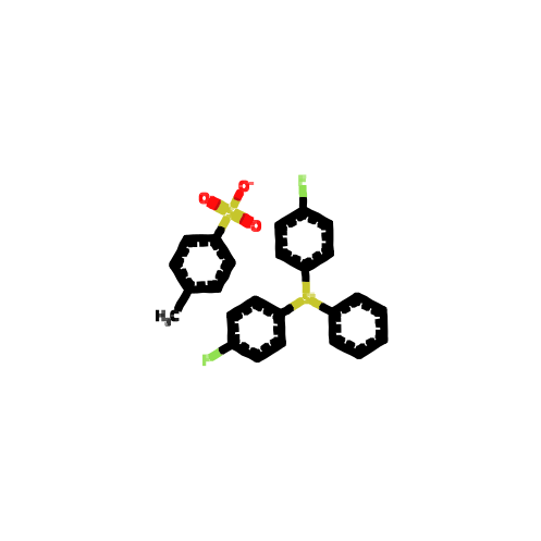 Cc1ccc(S(=O)(=O)[O-])cc1.Fc1ccc([S+](c2ccccc2)c2ccc(F)cc2)cc1